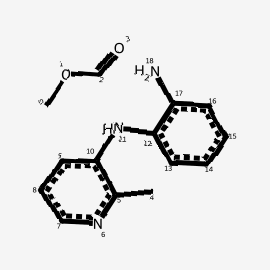 COC=O.Cc1ncccc1Nc1ccccc1N